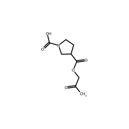 CC(=O)COC(=O)C1CCN(C(=O)O)C1